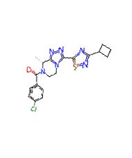 C[C@@H]1c2nnc(-c3nc(C4CCC4)ns3)n2CCN1C(=O)c1ccc(Cl)cc1